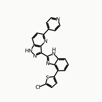 Clc1ccc(-c2cccc3[nH]c(-c4n[nH]c5ccc(-c6ccncc6)nc45)nc23)s1